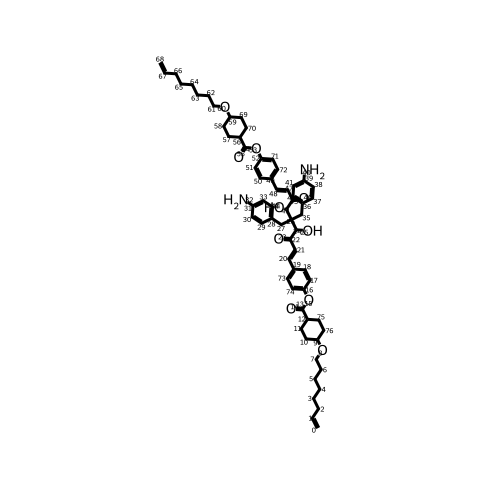 C=CCCCCCCOC1CCC(C(=O)Oc2ccc(/C=C/C(=O)C(O)C(Cc3ccc(N)cc3)(Cc3ccc(N)cc3)C(O)C(=O)/C=C/c3ccc(OC(=O)C4CCC(OCCCCCCC=C)CC4)cc3)cc2)CC1